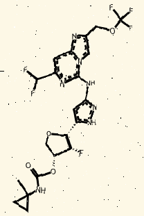 CC1(NC(=O)O[C@@H]2CO[C@H](c3cc(Nc4nc(C(F)F)cc5nc(COC(F)(F)F)cn45)n[nH]3)[C@@H]2F)CC1